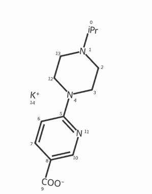 CC(C)N1CCN(c2ccc(C(=O)[O-])cn2)CC1.[K+]